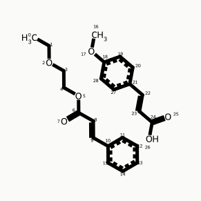 CCOCCOC(=O)/C=C/c1ccccc1.COc1ccc(/C=C/C(=O)O)cc1